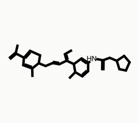 C=C(CC1CCCC1)NC1=CC(/C(C=CCC2CC=C(C(=C)C)C=C2C)=C\C)C(C)C=C1